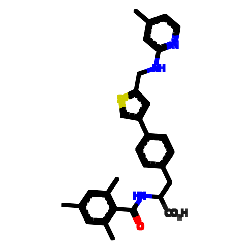 Cc1ccnc(NCc2cc(-c3ccc(CC(NC(=O)c4c(C)cc(C)cc4C)C(=O)O)cc3)cs2)c1